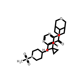 CC1(OC(=O)N2CC3COCC(C2)C3Oc2ncnc(OC3CCN(S(C)(=O)=O)CC3)c2F)CC1